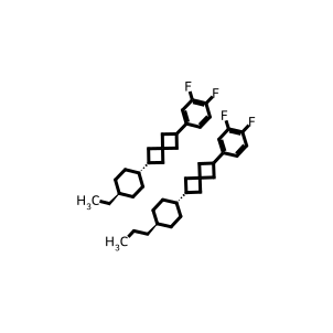 CCC[C@H]1CC[C@H](C2CC3(CC(c4ccc(F)c(F)c4)C3)C2)CC1.CC[C@H]1CC[C@H](C2CC3(CC(c4ccc(F)c(F)c4)C3)C2)CC1